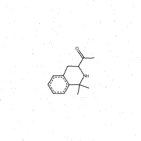 CC(=O)C1Cc2ccccc2C(C)(C)N1